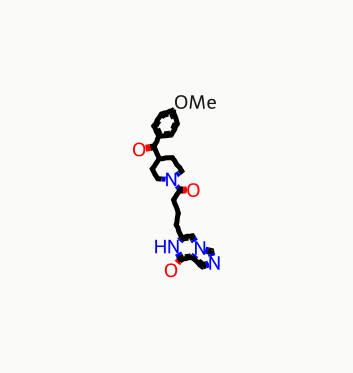 COc1ccc(C(=O)C2CCN(C(=O)CCCc3cn4cncc4c(=O)[nH]3)CC2)cc1